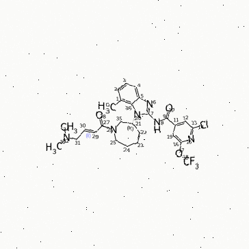 Cc1cccc2nc(NC(=O)c3cc(Cl)nc(OC(F)(F)F)c3)n([C@@H]3CCCCN(C(=O)/C=C/CN(C)C)C3)c12